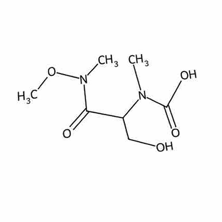 CON(C)C(=O)C(CO)N(C)C(=O)O